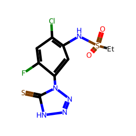 CCS(=O)(=O)Nc1cc(-n2nn[nH]c2=S)c(F)cc1Cl